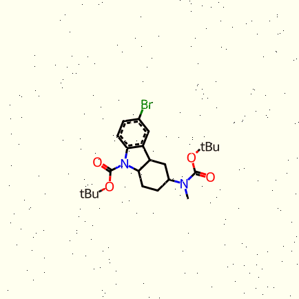 CN(C(=O)OC(C)(C)C)C1CCC2C(C1)c1cc(Br)ccc1N2C(=O)OC(C)(C)C